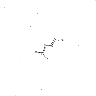 [CH2]/C(C)=C/C=C/C